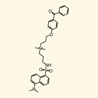 CN(C)c1cccc2c(S(=O)(=O)NCCC[N+](C)(C)CCCOc3ccc(C(=O)c4ccccc4)cc3)cccc12